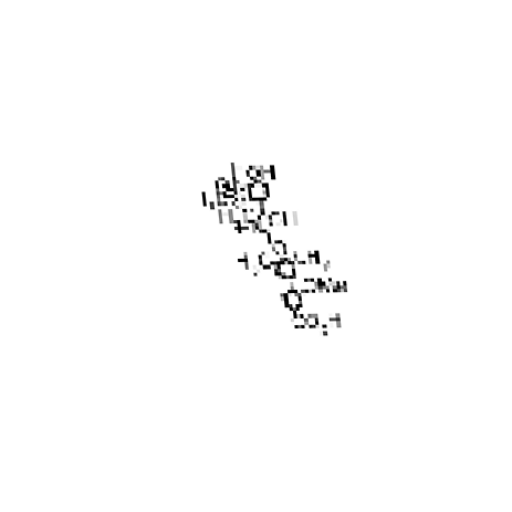 COc1cc(C(=O)O)ccc1-c1cc(C)c(OCCN[C@@H](C)[C@@H](O)c2ccc(O)c(NS(C)(=O)=O)c2)c(C)c1